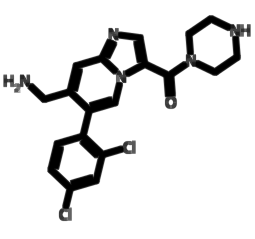 NCc1cc2ncc(C(=O)N3CCNCC3)n2cc1-c1ccc(Cl)cc1Cl